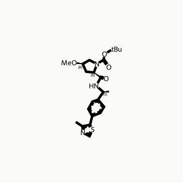 CO[C@@H]1C[C@H](C(=O)N[C@@H](C)c2ccc(-c3scnc3C)cc2)N(C(=O)OC(C)(C)C)C1